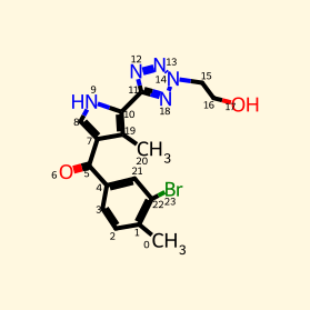 Cc1ccc(C(=O)c2c[nH]c(-c3nnn(CCO)n3)c2C)cc1Br